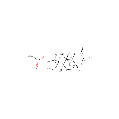 CCCCCCC(=O)O[C@H]1CC[C@H]2[C@@H]3CC[C@H]4CC(=O)[C@H](C)C[C@]4(C)[C@H]3CC[C@]12C